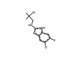 CCC(C)(C)CNc1nc2cc(Cl)c(F)cc2[nH]1